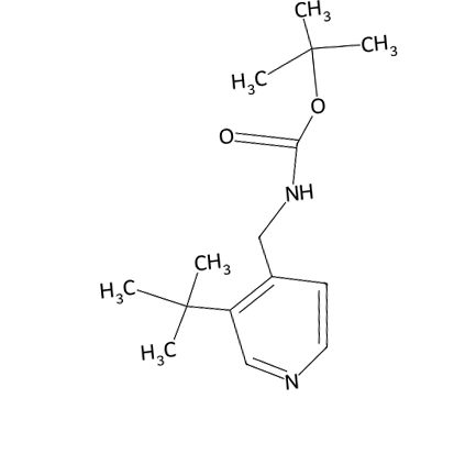 CC(C)(C)OC(=O)NCc1ccncc1C(C)(C)C